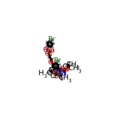 C/C(=N/C(=O)OC(C)(C)C)N(Cc1ccc(OCCCOS(=O)(=O)c2ccc(Br)cc2)c(Br)c1)C(=O)OC(C)(C)C